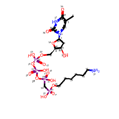 Cc1cn([C@H]2C[C@@H](O)[C@@H](COP(=O)(O)OP(=O)(O)OP(=O)(O)CP(=O)(O)OCCCCCCN)O2)c(=O)[nH]c1=O